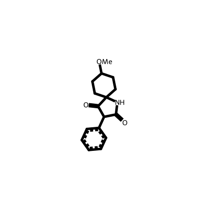 COC1CCC2(CC1)NC(=O)C(c1ccccc1)C2=O